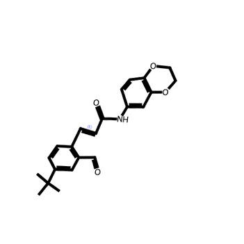 CC(C)(C)c1ccc(/C=C/C(=O)Nc2ccc3c(c2)OCCO3)c(C=O)c1